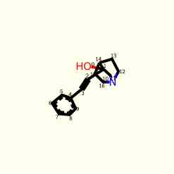 OC1(C#Cc2ccccc2)CN2CCC1CC2